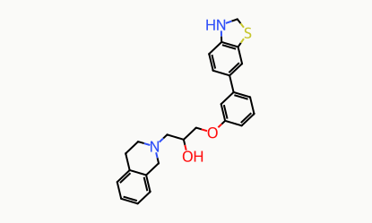 OC(COc1cccc(-c2ccc3c(c2)SCN3)c1)CN1CCc2ccccc2C1